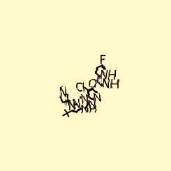 CN1CC[C@@H](n2nc(Nc3nc4ncc(O/C(C=N)=C5\C=CC(F)=CN5)c(Cl)c4n3C)cc2C(C)(C)C)C1